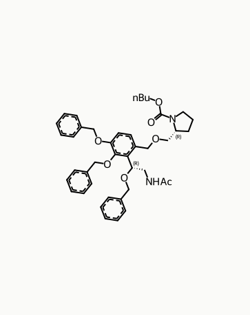 CCCCOC(=O)N1CCC[C@@H]1COCc1ccc(OCc2ccccc2)c(OCc2ccccc2)c1[C@H](CNC(C)=O)OCc1ccccc1